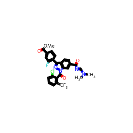 COC(=O)c1ccc(-c2nn(C(=O)c3c(Cl)cccc3C(F)(F)F)c3cc(C(=O)/N=C/N(C)C)ccc23)c(F)c1